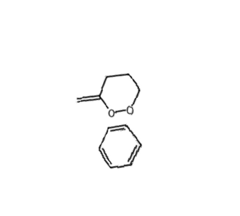 C=C1CCCOO1.c1ccccc1